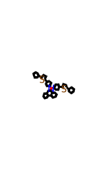 c1ccc(-c2ccc(-c3ccc(N(c4ccc(-c5ccc(-c6ccccc6)s5)cc4)c4cc5ccccc5c5ccccc45)cc3)s2)cc1